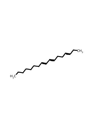 [CH2]CCCCCC/C=C/C=C/CC/C=C/CC